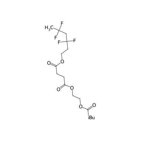 CCC(C)C(=O)OCCOC(=O)CCC(=O)OCCC(F)(F)CC(C)(F)F